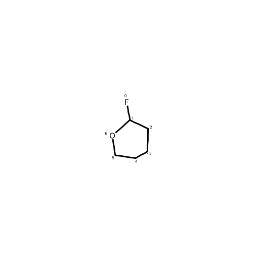 FC1C[CH]CCO1